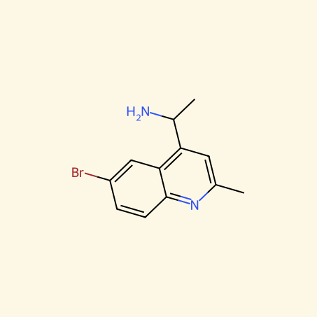 Cc1cc(C(C)N)c2cc(Br)ccc2n1